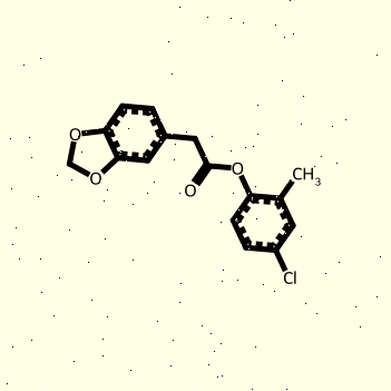 Cc1cc(Cl)ccc1OC(=O)Cc1ccc2c(c1)OCO2